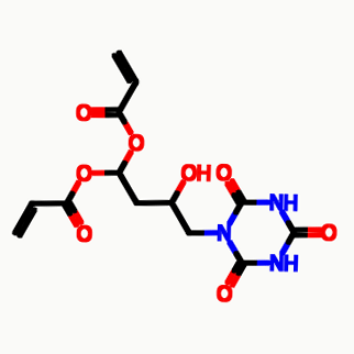 C=CC(=O)OC(CC(O)Cn1c(=O)[nH]c(=O)[nH]c1=O)OC(=O)C=C